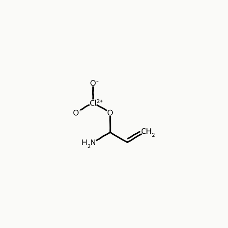 C=CC(N)O[Cl+2]([O-])[O-]